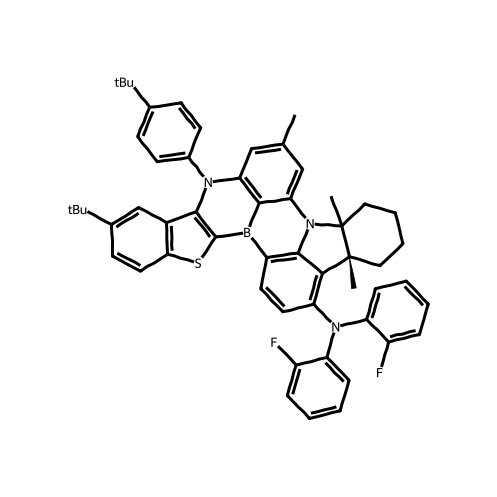 Cc1cc2c3c(c1)N1c4c(ccc(N(c5ccccc5F)c5ccccc5F)c4[C@@]4(C)CCCCC14C)B3c1sc3ccc(C(C)(C)C)cc3c1N2c1ccc(C(C)(C)C)cc1